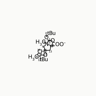 CC(C)(C)OC(=O)[N+]1(C)C[C@H](O[Si](C)(C)C(C)(C)C)C[C@H]1C(=O)[O-]